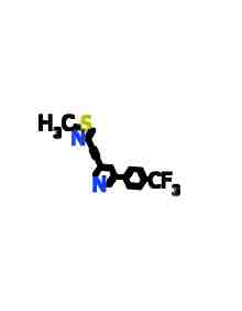 Cc1nc(C#Cc2cncc(-c3ccc(C(F)(F)F)cc3)c2)cs1